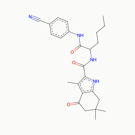 CCCCC(NC(=O)c1[nH]c2c(c1C)C(=O)CC(C)(C)C2)C(=O)Nc1ccc(C#N)cc1